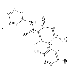 CCc1c(C(=O)Nc2ccccc2)c(=O)cc(C)n1-c1cccc(Br)c1